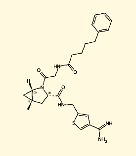 C[C@@]12C[C@@H]1N(C(=O)CNC(=O)CCCCc1ccccc1)[C@H](C(=O)NCc1cc(C(=N)N)cs1)C2